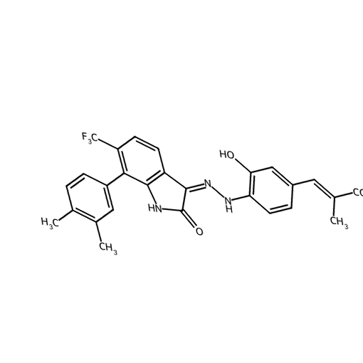 CC(=Cc1ccc(NN=C2C(=O)Nc3c2ccc(C(F)(F)F)c3-c2ccc(C)c(C)c2)c(O)c1)C(=O)O